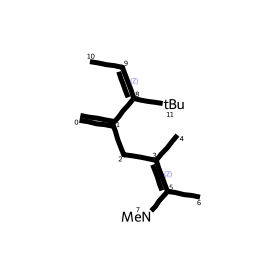 C=C(C/C(C)=C(/C)NC)/C(=C\C)C(C)(C)C